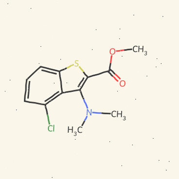 COC(=O)c1sc2cccc(Cl)c2c1N(C)C